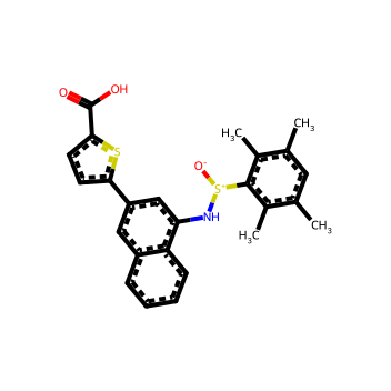 Cc1cc(C)c(C)c([S+]([O-])Nc2cc(-c3ccc(C(=O)O)s3)cc3ccccc23)c1C